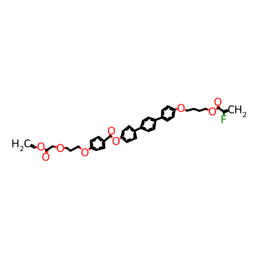 C=COC(=O)COCCCOc1ccc(C(=O)Oc2ccc(-c3ccc(-c4ccc(OCCCCOC(=O)C(=C)F)cc4)cc3)cc2)cc1